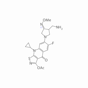 CO/N=C1/CN(c2cc3c(cc2F)c(=O)c2c(OC(C)=O)nsc2n3C2CC2)CC1CN